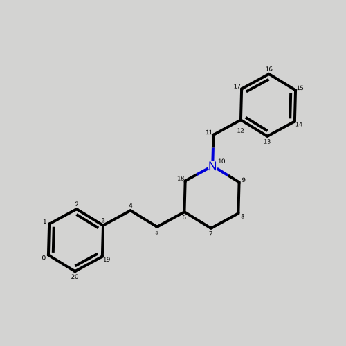 c1ccc(CCC2CCCN(Cc3ccccc3)C2)cc1